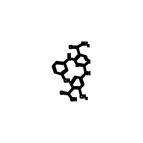 Cc1cccc(Nc2nc(Nc3ccc(C(=O)O)c(C)c3)ncc2C(N)=O)c1